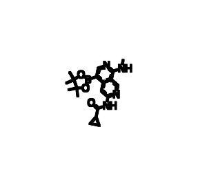 CNc1ncc(B2OC(C)(C)C(C)(C)O2)c2cc(NC(=O)C3CC3)ncc12